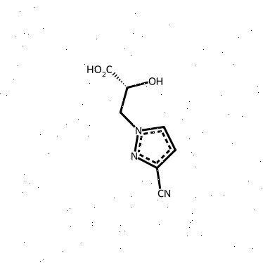 N#Cc1ccn(C[C@@H](O)C(=O)O)n1